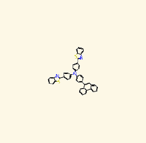 c1ccc2c(c1)cc(-c1ccc(N(c3ccc(-c4nc5ccccc5s4)cc3)c3ccc(-c4nc5ccccc5s4)cc3)cc1)c1ccccc12